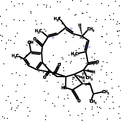 CC1=C\[C@@H](C)/C=C(\C)C(=O)[C@H](C)[C@H]2[C@@H](CC(C)C)C(=O)NC23CC(=O)c2c(cc(C)c(O)c2C(=O)\C(C)=C\1)C3=O